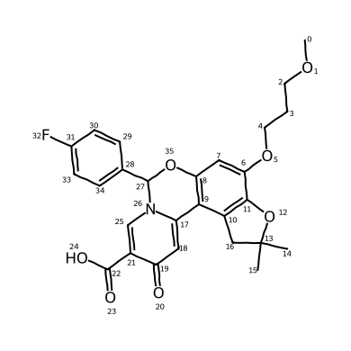 COCCCOc1cc2c(c3c1OC(C)(C)C3)-c1cc(=O)c(C(=O)O)cn1C(c1ccc(F)cc1)O2